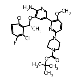 COc1ccc(N2CCN(C(=O)OC(C)(C)C)CC2)nc1-c1cnc(N)c(O[C@H](C)c2c(Cl)ccc(F)c2Cl)c1